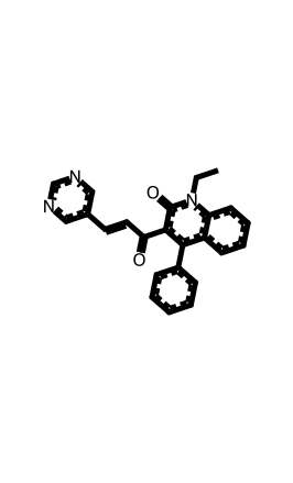 CCn1c(=O)c(C(=O)/C=C/c2cncnc2)c(-c2ccccc2)c2ccccc21